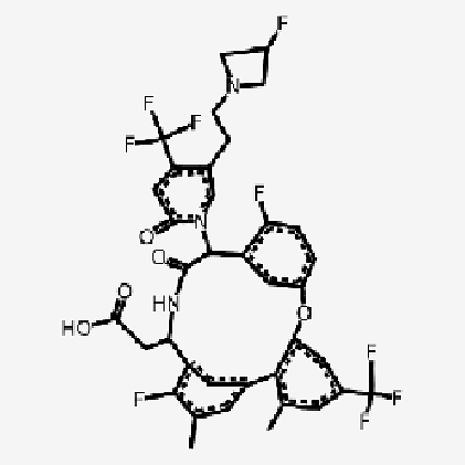 Cc1cc2cc(c1F)C(CC(=O)O)NC(=O)C(n1cc(CCN3CC(F)C3)c(C(F)(F)F)cc1=O)c1cc(ccc1F)Oc1cc(C(F)(F)F)cc(C)c1-2